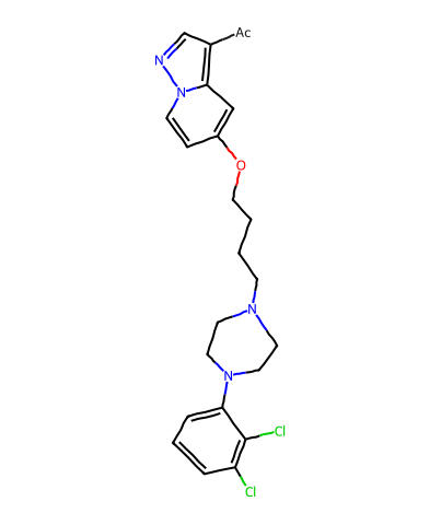 CC(=O)c1cnn2ccc(OCCCCN3CCN(c4cccc(Cl)c4Cl)CC3)cc12